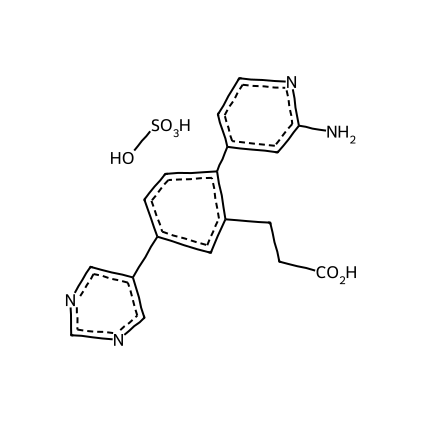 Nc1cc(-c2ccc(-c3cncnc3)cc2CCC(=O)O)ccn1.O=S(=O)(O)O